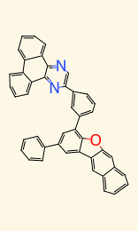 c1ccc(-c2cc(-c3cccc(-c4cnc5c6ccccc6c6ccccc6c5n4)c3)c3oc4cc5ccccc5cc4c3c2)cc1